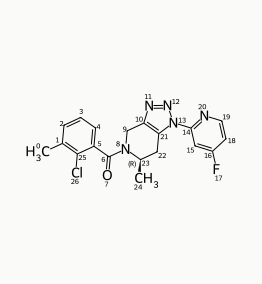 Cc1cccc(C(=O)N2Cc3nnn(-c4cc(F)ccn4)c3C[C@H]2C)c1Cl